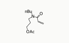 C=CC(=O)N(CCCC)CCCOC(C)=O